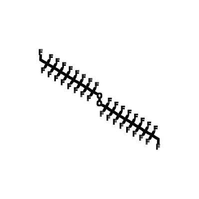 FCC(F)(F)C(F)(F)C(F)(F)C(F)(F)C(F)(F)C(F)(F)C(F)(F)C(F)(F)OOC(F)(F)C(F)(F)C(F)(F)C(F)(F)C(F)(F)C(F)(F)C(F)(F)C(F)(F)CF